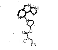 CN(CC#N)C(=O)OC1CCN(c2nccc3cnc4[nH]ccc4c23)C1